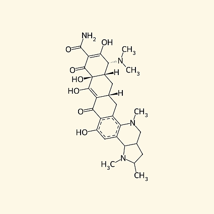 CC1CC2CN(C)c3c(cc(O)c4c3C[C@H]3C[C@H]5[C@@H](N(C)C)C(O)=C(C(N)=O)C(=O)[C@@]5(O)C(O)=C3C4=O)C2N1C